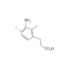 CCOC(=O)CCc1ccc(F)c([N+](=O)[O-])c1C